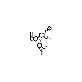 C[C@@H]1[C@@H](COc2ccc3c(c2)C(=O)NC3)[C@H](c2ccc3cc[nH]c3c2)CCN1CCn1cccc1